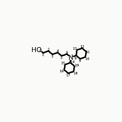 OCCCCCCN(C1CCCCC1)C1CCCCC1